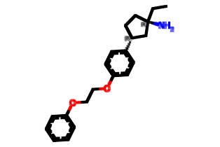 CC[C@@]1(N)CC[C@@H](c2ccc(OCCOc3ccccc3)cc2)C1